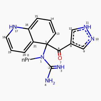 CCCN(C(=N)N)C1(C(=O)c2cn[nH]c2)C=CC=C2NC=CC=C21